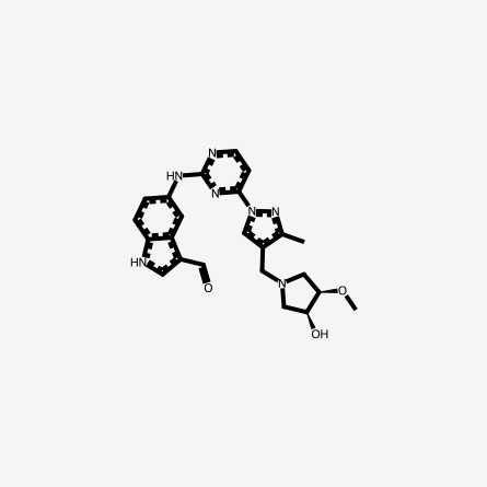 CO[C@@H]1CN(Cc2cn(-c3ccnc(Nc4ccc5[nH]cc(C=O)c5c4)n3)nc2C)C[C@@H]1O